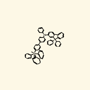 C[SH](c1ccccc1)(c1ccccc1)(c1ccccc1)c1ccc(-c2ccc(N(c3ccccc3)c3ccc4c(c3)C(c3ccccc3)(C3C=CC=CC3)c3ccccc3-4)cc2)cc1